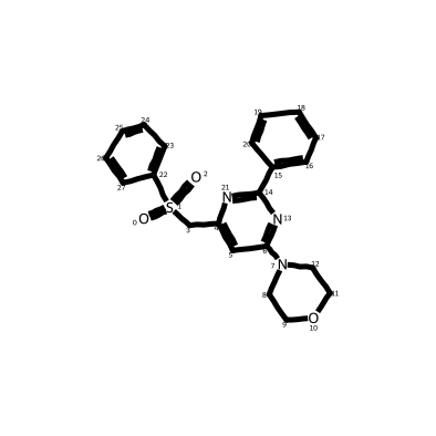 O=S(=O)(Cc1cc(N2CCOCC2)nc(-c2ccccc2)n1)c1ccccc1